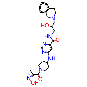 C/C(=N/O)C(=O)N1CCC(Nc2cc(C(=O)NCC(O)CN3CCc4ccccc4C3)ncn2)CC1